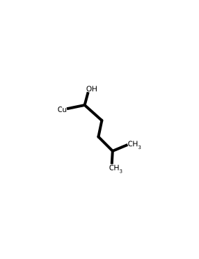 CC(C)CC[CH](O)[Cu]